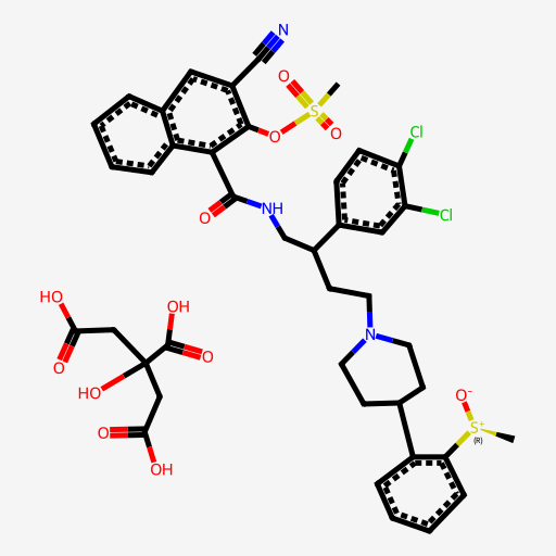 C[S@+]([O-])c1ccccc1C1CCN(CCC(CNC(=O)c2c(OS(C)(=O)=O)c(C#N)cc3ccccc23)c2ccc(Cl)c(Cl)c2)CC1.O=C(O)CC(O)(CC(=O)O)C(=O)O